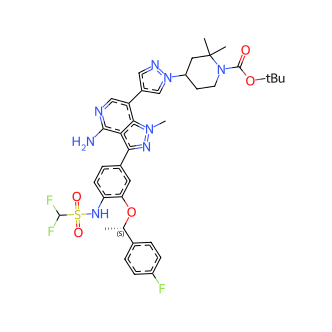 C[C@H](Oc1cc(-c2nn(C)c3c(-c4cnn(C5CCN(C(=O)OC(C)(C)C)C(C)(C)C5)c4)cnc(N)c23)ccc1NS(=O)(=O)C(F)F)c1ccc(F)cc1